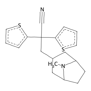 CN1C2CCC1CC(CC(C#N)(c1cccs1)c1cccs1)C2